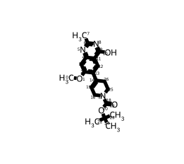 COc1cc2nc(C)nc(O)c2cc1C1=CCN(C(=O)OC(C)(C)C)CC1